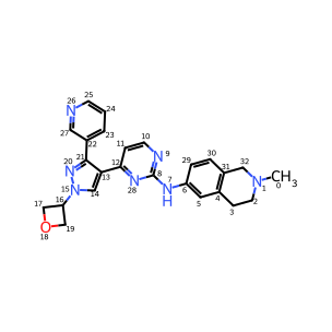 CN1CCc2cc(Nc3nccc(-c4cn(C5COC5)nc4-c4cccnc4)n3)ccc2C1